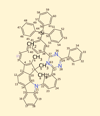 C=C/C=C\C1=C(C)C(C)(C)c2c1ccc1c3ccccc3n(-c3cccc(-c4nc(-c5ccccc5)nc(-c5cccc([Si](c6ccccc6)(c6ccccc6)c6ccccc6)c5)n4)c3)c21